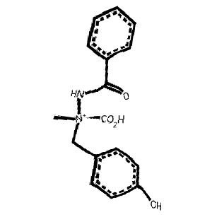 C[N@@+](Cc1ccc(O)cc1)(NC(=O)c1ccccc1)C(=O)O